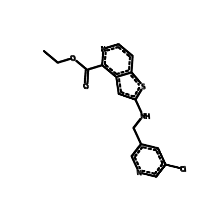 CCOC(=O)c1nccc2sc(NCc3cncc(Cl)c3)cc12